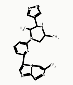 CC1CN(c2cccc(-c3cnc4cnc(C(F)(F)F)cn34)n2)C(C)C(c2cn[nH]c2)N1